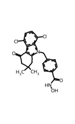 CC1(C)CC(=O)c2c(n(Cc3ccc(C(=O)NO)cc3)c3c(Cl)ccc(Cl)c23)C1